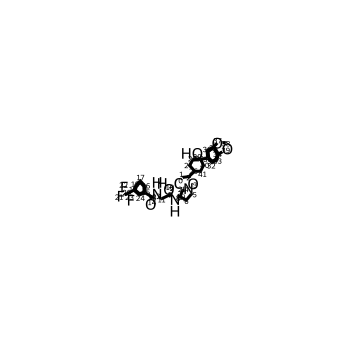 CCC(ON1CC[C@H](NC(=O)CNC(=O)c2cccc(C(F)(F)F)c2)C1)C1CCC(O)(c2ccc3c(c2)OCO3)CC1